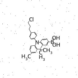 Cc1ccc2c(c1)C(C)(C)c1cc(B(O)O)ccc1N2c1ccc(CCCCl)cc1